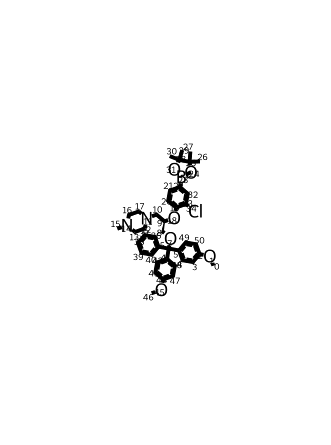 COc1ccc(C(OC[C@@H](CN2CCN(C)CC2)Oc2ccc(B3OC(C)(C)C(C)(C)O3)cc2Cl)(c2ccccc2)c2ccc(OC)cc2)cc1